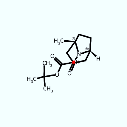 CC(C)(C)OC(=O)NN1[C@@H]2CC[C@@]1(C)CC(=O)C2